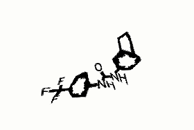 O=C(Nc1ccc(C(F)(F)F)cc1)Nc1ccc2c(c1)CCC2